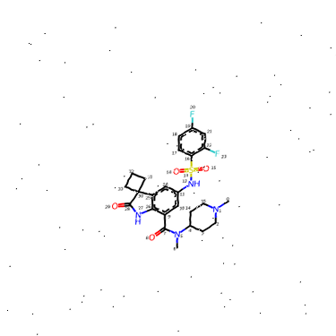 CN1CCC(N(C)C(=O)c2cc(NS(=O)(=O)c3ccc(F)cc3F)cc3c2NC(=O)C32CCC2)CC1